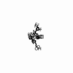 C[C@@H]1CCCN1Cc1sc(Nc2nccc(N3CCN(CCC(=O)O)CC3)c2F)nc1-c1cc(F)cc(C(F)(F)F)c1.Cl.Cl.Cl